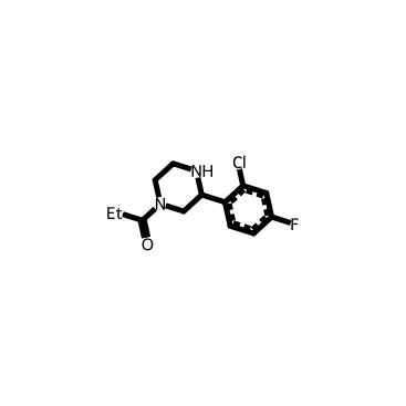 CCC(=O)N1CCNC(c2ccc(F)cc2Cl)C1